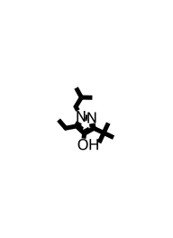 CCc1c(O)c(C(C)(C)C)nn1CC(C)C